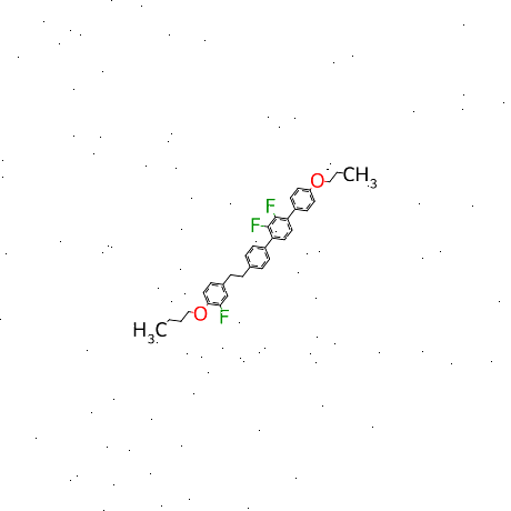 CCCCOc1ccc(CCc2ccc(-c3ccc(-c4ccc(OCCC)cc4)c(F)c3F)cc2)cc1F